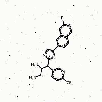 NCC(N)C(c1ccc(C(F)(F)F)nc1)c1ncc(-c2ccc3cnc(F)cc3c2)s1